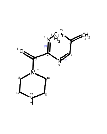 C=C(/C=N\C(=N/C)C(=O)N1CCNCC1)C(C)C